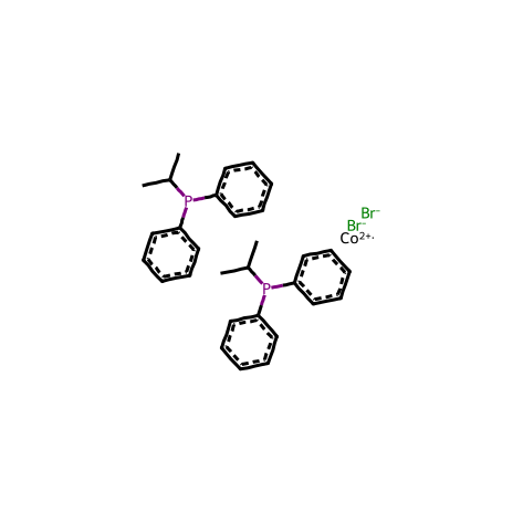 CC(C)P(c1ccccc1)c1ccccc1.CC(C)P(c1ccccc1)c1ccccc1.[Br-].[Br-].[Co+2]